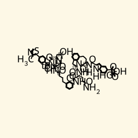 Cc1ncsc1-c1ccc([C@H](C)NC(=O)[C@@H]2C[C@@H](O)CN2C(=O)[C@@H](NC(=O)CCCc2cccc(NC(=O)[C@H](CCC(N)=O)NC(=O)[C@@H]3Cc4cccc5c4N3C(=O)[C@@H](NC(=O)c3cc4cc(C(=O)P(=O)(O)O)ccc4[nH]3)CC5)c2Cl)C(C)(C)C)cc1